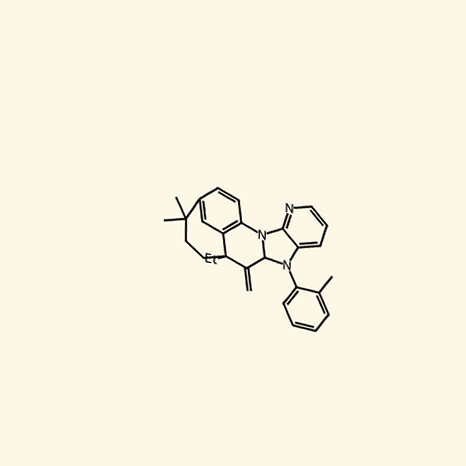 C=C1C2N(c3ccccc3C)c3cccnc3N2c2ccc3cc2C1(CC)CCC3(C)C